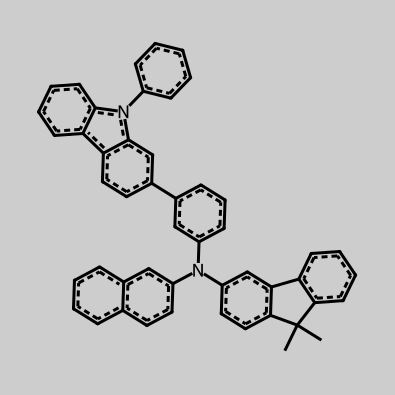 CC1(C)c2ccccc2-c2cc(N(c3cccc(-c4ccc5c6ccccc6n(-c6ccccc6)c5c4)c3)c3ccc4ccccc4c3)ccc21